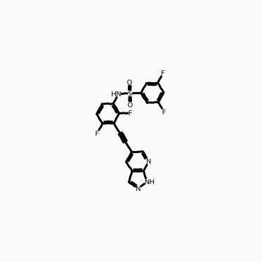 O=S(=O)(Nc1ccc(F)c(C#Cc2cnc3[nH]ncc3c2)c1F)c1cc(F)cc(F)c1